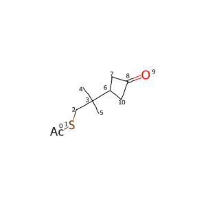 CC(=O)SCC(C)(C)C1CC(=O)C1